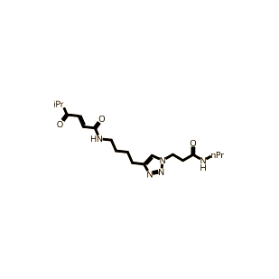 CCCNC(=O)CCn1cc(CCCCNC(=O)/C=C/C(=O)C(C)C)nn1